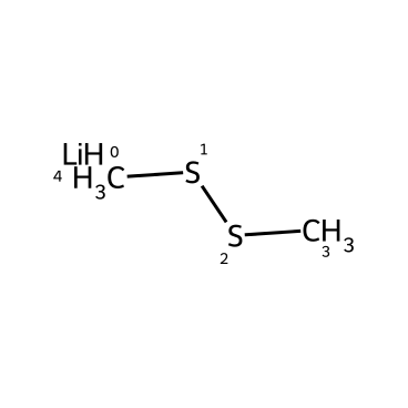 CSSC.[LiH]